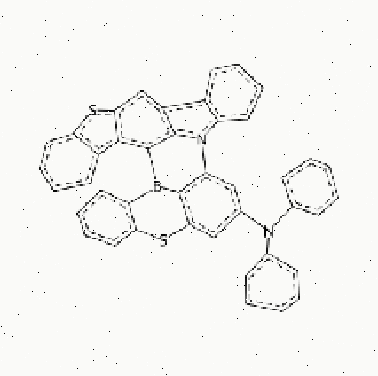 c1ccc(N(c2ccccc2)c2cc3c4c(c2)-n2c5ccccc5c5cc6sc7ccccc7c6c(c52)B4c2ccccc2S3)cc1